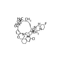 CO[C@]1(CN2CCN3CC[C@@H](F)C[C@@H]3C2)/C=C/C[C@H](C)[C@@H](C)S(=O)(=O)NC(=O)c2ccc3c(c2)N(C[C@@H]2CC[C@H]21)C[C@@]1(CCCc2cc(Cl)ccc21)CO3